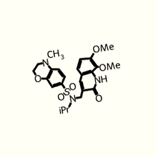 COc1ccc2cc(CN(C(C)C)S(=O)(=O)c3ccc4c(c3)OCCN4C)c(=O)[nH]c2c1OC